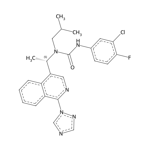 CC(C)CN(C(=O)Nc1ccc(F)c(Cl)c1)[C@@H](C)c1cnc(-n2cncn2)c2ccccc12